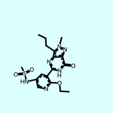 CCCc1c2nc(-c3cc(NS(C)(=O)=O)cnc3OCC)[nH]c(=O)c2nn1C